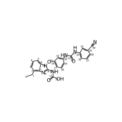 CCc1cccc2c1nc(NC(=O)O)n2Oc1cccc(NC(=O)Nc2cccc(C#N)c2)c1